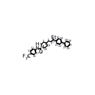 CC/C(=C\CC1CCN(C(=O)Nc2ccc(C(F)(F)F)cc2)CC1)c1ccc(-c2ccccc2)cc1